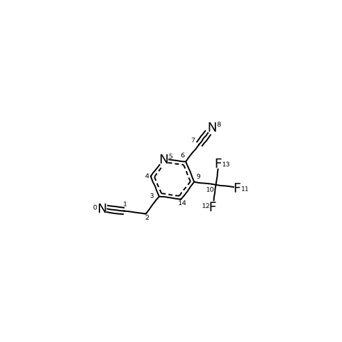 N#CCc1cnc(C#N)c(C(F)(F)F)c1